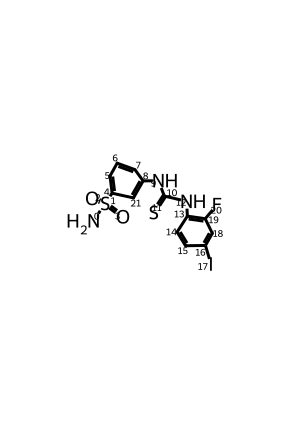 NS(=O)(=O)c1cccc(NC(=S)Nc2ccc(I)cc2F)c1